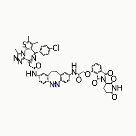 Cc1sc2c(c1C)C(c1ccc(Cl)cc1)=N[C@@H](CC(=O)Nc1ccc3c(c1)CCc1cc(NC(=O)COc4cccc5c4C(=O)N(C4CCC(=O)NC4=O)C5=O)ccc1/N=N\3)c1nnc(C)n1-2